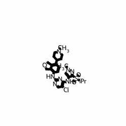 CC(C)S(=O)(=O)c1nn(C)cc1Nc1nc(Nc2ccc(C3CCN(C)CC3)c3c2COC3)ncc1Cl